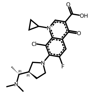 C[C@H]([C@@H]1CCN(c2c(F)cc3c(=O)c(C(=O)O)cn(C4CC4)c3c2Cl)C1)N(C)C